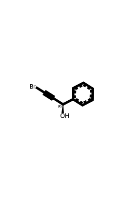 O[C@@H](C#CBr)c1ccccc1